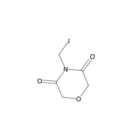 O=C1COCC(=O)N1CI